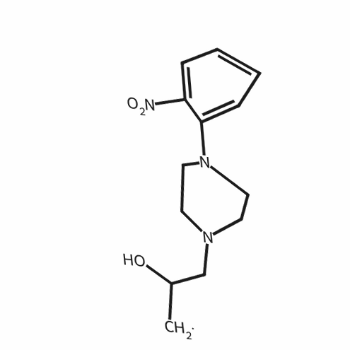 [CH2]C(O)CN1CCN(c2ccccc2[N+](=O)[O-])CC1